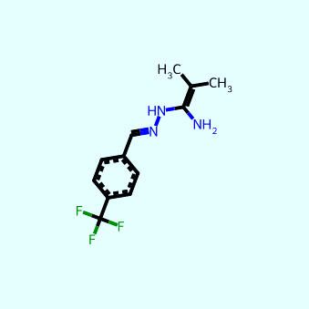 CC(C)=C(N)N/N=C/c1ccc(C(F)(F)F)cc1